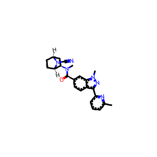 Cc1cccc(-c2nn(C)c3cc(C(=O)N(C)[C@@H]4C[C@@H]5CC[C@H]4N5C#N)ccc23)n1